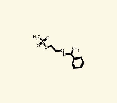 CC(=NOCCOS(C)(=O)=O)c1ccccc1